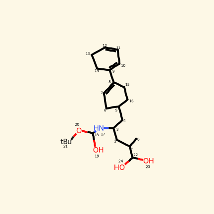 CC(CC(CC1CC=C(C2=CC=CCC2)CC1)NC(O)OC(C)(C)C)C(O)O